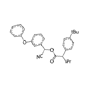 CC(C)C(C(=O)OC(C#N)c1cccc(Oc2ccccc2)c1)c1ccc(C(C)(C)C)cc1